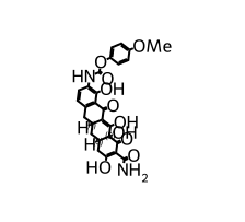 COc1ccc(OC(=O)Nc2ccc3c(c2O)C(=O)C2=C(O)[C@]4(O)C(=O)C(C(N)=O)=C(O)C[C@@H]4C[C@@H]2C3)cc1